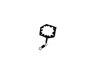 O=[S+]c1cc[c]cc1